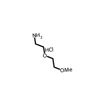 COCCOCCN.Cl